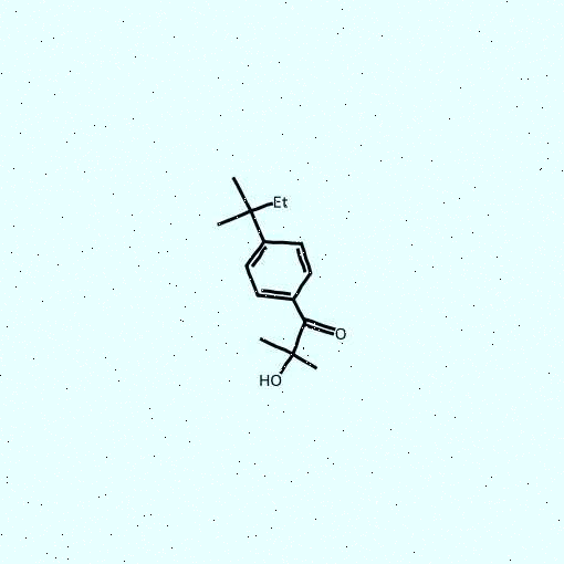 CCC(C)(C)c1ccc(C(=O)C(C)(C)O)cc1